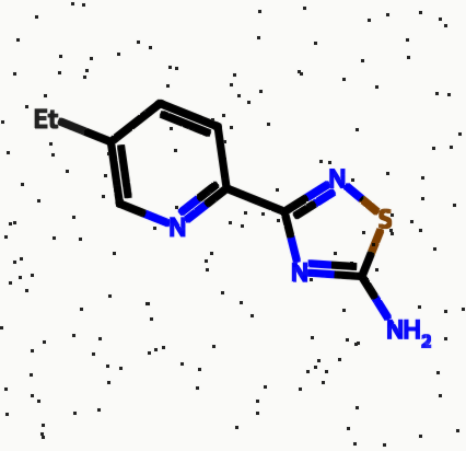 CCc1ccc(-c2nsc(N)n2)nc1